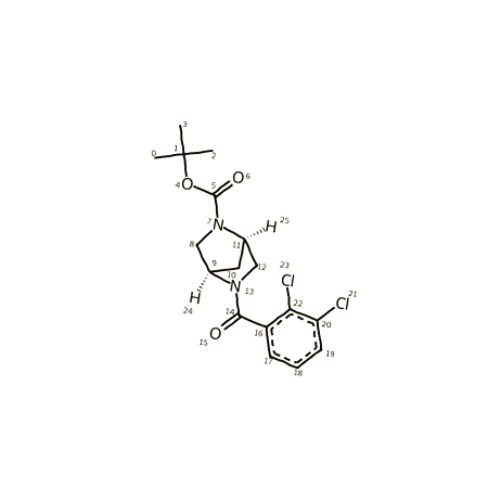 CC(C)(C)OC(=O)N1C[C@H]2C[C@@H]1CN2C(=O)c1cccc(Cl)c1Cl